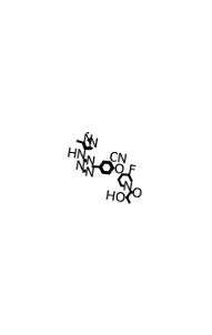 Cc1c(Nc2ncnc(-c3ccc(O[C@H]4CCN(C(=O)C(C)O)C[C@H]4F)c(C#N)c3)n2)cnn1C